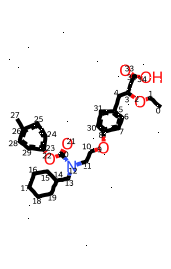 CCOC(Cc1ccc(OCCN(CC2CCCCC2)C(=O)Oc2ccc(C)cc2)cc1)C(=O)O